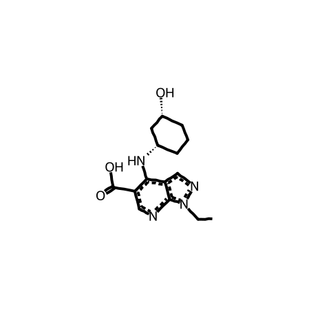 CCn1ncc2c(N[C@H]3CCC[C@@H](O)C3)c(C(=O)O)cnc21